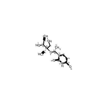 C#C[C@H](O)[C@@](C#C)(CO)O[C@H](C)n1ccc(=O)[nH]c1=O